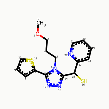 COCCCn1c(-c2cccs2)nnc1C(S)c1ccccn1